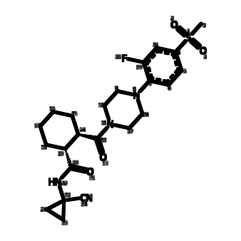 CS(=O)(=O)c1ccc(N2CCN(C(=O)[C@@H]3CCCC[C@H]3C(=O)NC3(C#N)CC3)CC2)c(F)c1